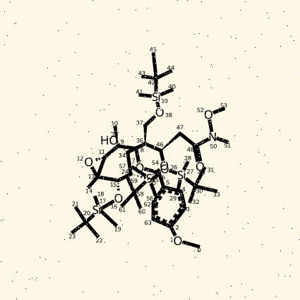 COc1ccc(COC[C@H](C)[C@H]2OC2(C)[C@@H](O[Si](C)(C)C(C)(C)C)[C@@H](CO[Si](C)(C)C(C)(C)C)[C@H](O)[C@@H](CO[Si](C)(C)C(C)(C)C)[C@@H](CC(=O)N(C)OC)O[Si](C)(C)C(C)(C)C)cc1